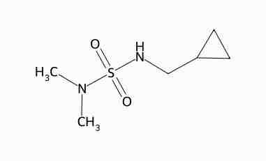 CN(C)S(=O)(=O)NCC1CC1